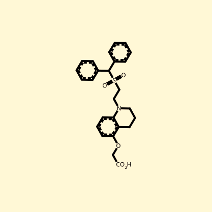 O=C(O)COc1cccc2c1CCCN2CCS(=O)(=O)C(c1ccccc1)c1ccccc1